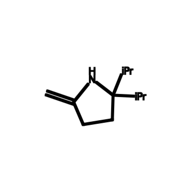 C=C1CCC(C(C)C)(C(C)C)N1